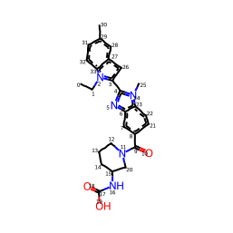 CCn1c(-c2nc3cc(C(=O)N4CCCC(NC(=O)O)C4)ccc3n2C)cc2cc(C)ccc21